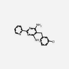 Nc1nc(-c2ccccn2)nc(N)c1Cc1cccc(Cl)c1